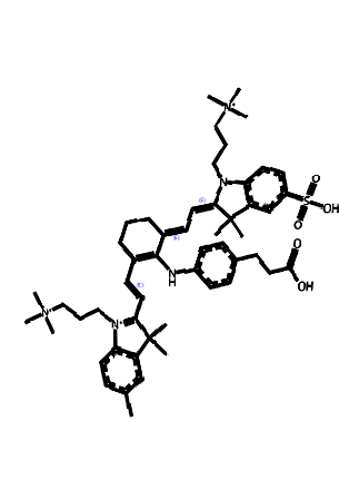 Cc1ccc2c(c1)C(C)(C)C(/C=C/C1=C(Nc3ccc(CCC(=O)O)cc3)C(=C/C=C3/N(CCC[N+](C)(C)C)c4ccc(S(=O)(=O)O)cc4C3(C)C)/CCC1)=[N+]2CCC[N+](C)(C)C